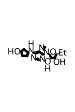 CC[C@H]1O[C@@H](n2cnc3c(N[C@H]4CC[C@H](O)C4)ncnc32)[C@H](O)[C@@H]1O